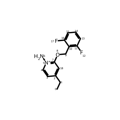 CCc1cc[n+](N)c(OCc2c(F)cccc2F)c1